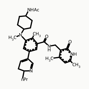 CCCC1CC=C(c2cc(C(=O)NCc3c(C)cc(C)[nH]c3=O)c(C)c(N(C)C3CCC(NC(C)=O)CC3)c2)C=N1